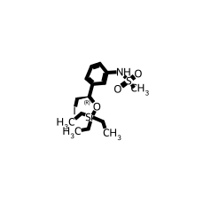 CC[Si](CC)(CC)O[C@@H](CI)c1cccc(NS(C)(=O)=O)c1